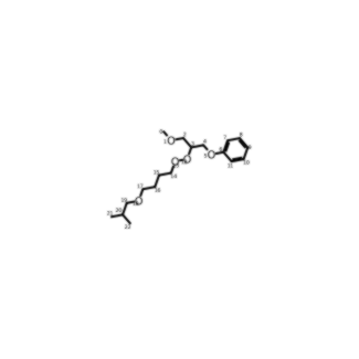 COCC(COc1ccccc1)OOCCCCOCC(C)C